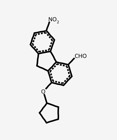 O=Cc1ccc(OC2CCCC2)c2c1-c1cc([N+](=O)[O-])ccc1C2